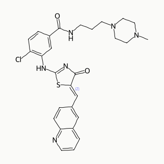 CN1CCN(CCCNC(=O)c2ccc(Cl)c(NC3=NC(=O)/C(=C/c4ccc5ncccc5c4)S3)c2)CC1